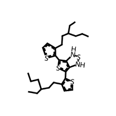 CCCC(CC)CCc1ccsc1-c1sc(-c2sccc2CCC(CC)CCC)c2c1NSN2